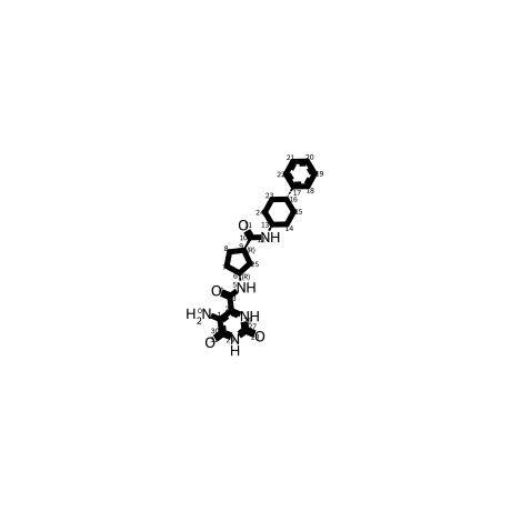 Nc1c(C(=O)N[C@@H]2CC[C@@H](C(=O)N[C@H]3CC[C@@H](c4ccccc4)CC3)C2)[nH]c(=O)[nH]c1=O